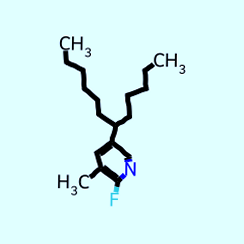 CCCCCCC(CCCCC)c1cnc(F)c(C)c1